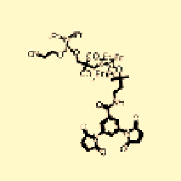 [C-]#[N+]CCOP(OCC(CO[Si](OC(C)(C)CCNC(=O)c1cc(N2C(=O)C=CC2=O)cc(N2C(=O)C=CC2=O)c1)(C(C)C)C(C)C)(C(=O)OCC)C(=O)OCC)N(C(C)C)C(C)C